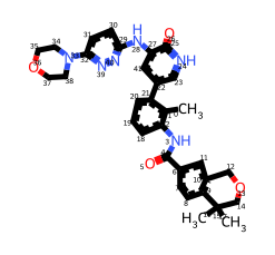 Cc1c(NC(=O)c2ccc3c(c2)COCC3(C)C)cccc1-c1c[nH]c(=O)c(Nc2ccc(N3CCOCC3)nn2)c1